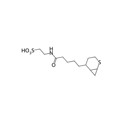 O=C(CCCCC1CCSC2CC12)NCCS(=O)(=O)O